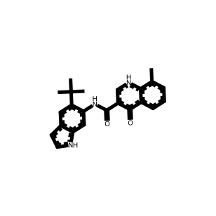 Cc1cccc2c(=O)c(C(=O)Nc3cc4[nH]ccc4cc3C(C)(C)C)c[nH]c12